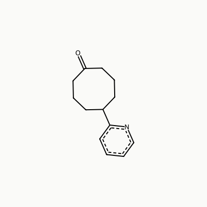 O=C1CCCC(c2ccccn2)CCC1